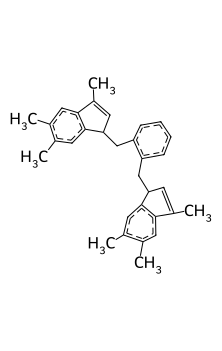 CC1=CC(Cc2ccccc2CC2C=C(C)c3cc(C)c(C)cc32)c2cc(C)c(C)cc21